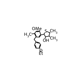 CCOc1ccc(Cc2cc(C3SC(C)C(C)C3O)c(OC)cc2C)cc1